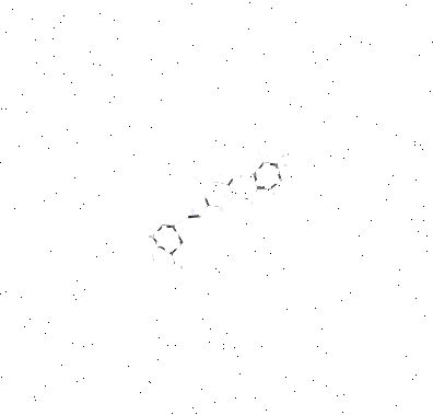 O=C(/C=C/c1ccc(O)c(O)c1)O[C@H](Cc1ccc(O)c(O)c1)C(=O)Cl